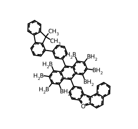 Bc1c(B)c(B)c2c(-c3ccc4oc5ccc6ccccc6c5c4c3)c3c(B)c(B)c(B)c(B)c3c(-c3cccc(-c4cccc5c4C(C)(C)c4ccccc4-5)c3)c2c1B